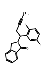 CC#CCC(c1cc(F)ccc1F)N1Cc2ccccc2C1=O